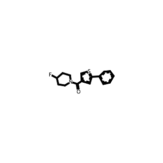 O=C(c1csc(-c2ccccc2)c1)N1CCC(F)CC1